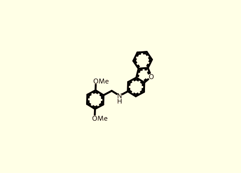 COc1ccc(OC)c(CNc2ccc3oc4ccccc4c3c2)c1